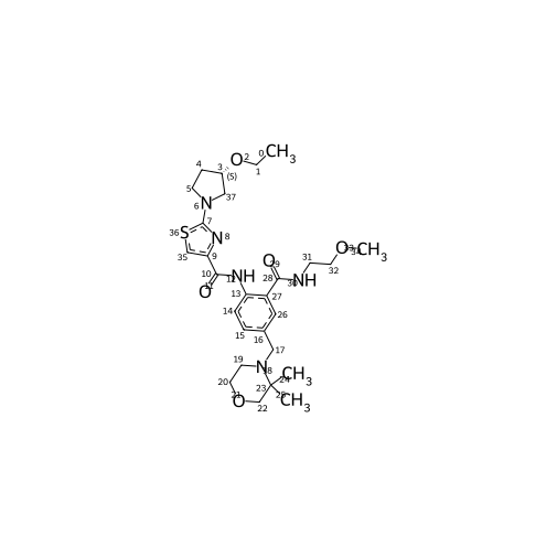 CCO[C@H]1CCN(c2nc(C(=O)Nc3ccc(CN4CCOCC4(C)C)cc3C(=O)NCCOC)cs2)C1